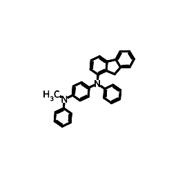 CN(c1ccccc1)c1ccc(N(c2ccccc2)c2cccc3c2Cc2ccccc2-3)cc1